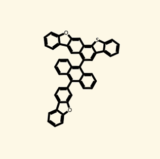 c1ccc2c(c1)oc1cc(-c3c4ccccc4c(-c4cc5c6ccccc6sc5c5cc6oc7ccccc7c6cc45)c4ccccc34)ccc12